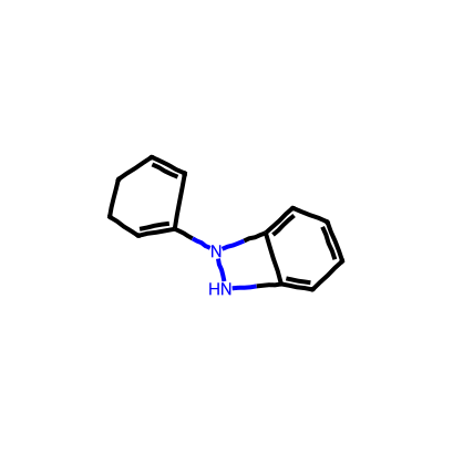 C1=CC(n2[nH]c3ccccc32)=CCC1